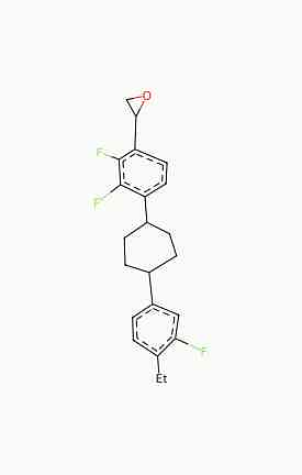 CCc1ccc(C2CCC(c3ccc(C4CO4)c(F)c3F)CC2)cc1F